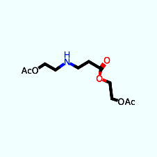 CC(=O)OCCNCCC(=O)OCCOC(C)=O